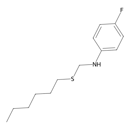 CCCCCCSCNc1ccc(F)cc1